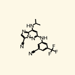 CC(C)Nc1cc(Nc2cc(C#N)cc(C(F)(F)F)c2)nn2c(C#N)cnc12